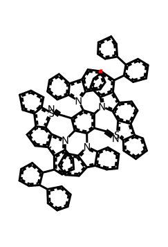 N#Cc1c(-n2c3ccccc3c3ccccc32)c(-n2c3cccc(-c4ccccc4-c4ccccc4)c3c3ccc4c5ccccc5sc4c32)c(C#N)c(-n2c3ccccc3c3ccccc32)c1-n1c2cccc(-c3ccccc3-c3ccccc3)c2c2ccc3c4ccccc4sc3c21